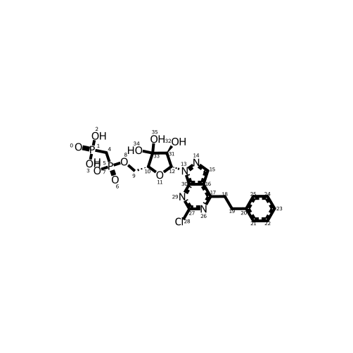 O=P(O)(O)CP(=O)(O)OC[C@H]1O[C@@H](n2ncc3c(CCc4ccccc4)nc(Cl)nc32)[C@H](O)C1(O)O